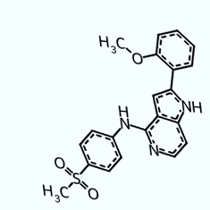 COc1ccccc1-c1cc2c(Nc3ccc(S(C)(=O)=O)cc3)nccc2[nH]1